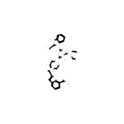 NC(=O)c1cccc2cc(C(=O)N3CCN(c4nc(N5CCOCC5)nc(-n5c(C(F)F)nc6ccccc65)n4)CC3)oc12